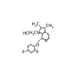 Cc1c(C)n(C)c2c(COc3ccc(F)cc3F)nccc12.Cl